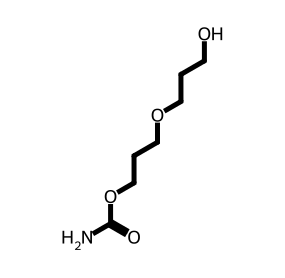 NC(=O)OCCCOCCCO